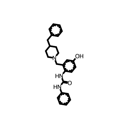 O=C(Nc1ccccc1)Nc1ccc(O)cc1CN1CCC(Cc2ccccc2)CC1